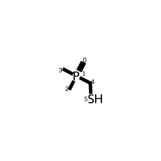 C=P(C)(C)CS